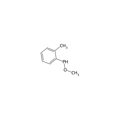 COPc1ccccc1C